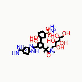 CN(CC(O)C(O)C(O)C(O)CO)C(=O)C(C)(C)c1cc(-c2nc3cc(C(=N)N)ccc3[nH]2)c(O)c(-c2cc(S(N)(=O)=O)ccc2O)c1